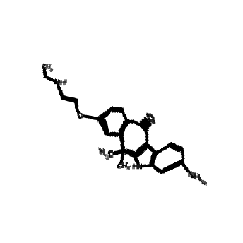 CCNCCOc1ccc2c(c1)C(C)(C)c1[nH]c3cc(N)ccc3c1C2=O